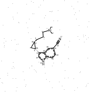 CN(C)CCC[C@@H]1C[C@H]1c1c[nH]c2ccc(C#N)cc12